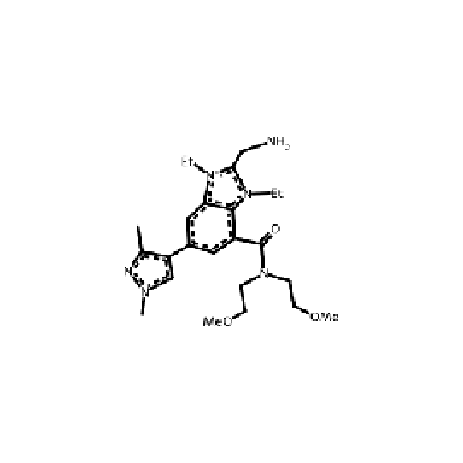 CCn1c(CN)[n+](CC)c2cc(-c3cn(C)nc3C)cc(C(=O)N(CCOC)CCOC)c21